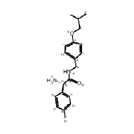 CC(C)COc1ccc(CNC(=O)[C@@H](N)c2ccc(F)cc2)cc1